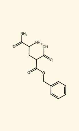 NC(=O)C(N)CC(C(=O)O)C(=O)OCc1ccccc1